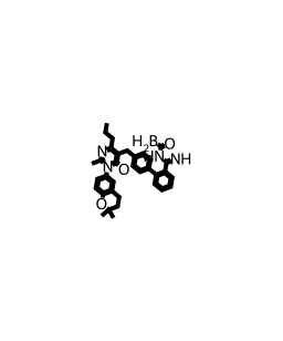 BC(=O)NC(=N)c1ccccc1-c1ccc(Cc2c(CCC)nc(C)n(-c3ccc4c(c3)CCC(C)(C)O4)c2=O)cc1